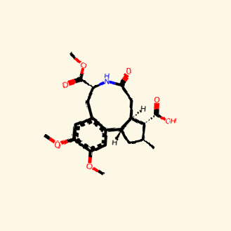 COC(=O)[C@@H]1Cc2cc(OC)c(OC)cc2[C@H]2C[C@H](C)[C@@H](C(=O)O)[C@@H]2CC(=O)N1